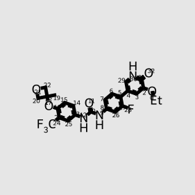 CCOc1cc(-c2ccc(NC(=O)Nc3ccc(OC4(C)COC4)c(C(F)(F)F)c3)cc2F)c[nH]c1=O